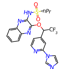 CCCS(=O)(=O)Nc1nc2ccccc2nc1OC(c1ccnc(-n2ccnc2)c1)C(F)(F)F